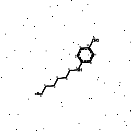 CCCCCCCCCCCCCCNc1ccc(C=O)cc1